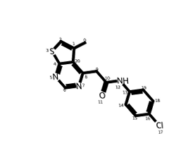 Cc1csc2ncnc(CC(=O)Nc3ccc(Cl)cc3)c12